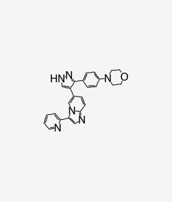 c1ccc(-c2cnc3ccc(-c4c[nH]nc4-c4ccc(N5CCOCC5)cc4)cn23)nc1